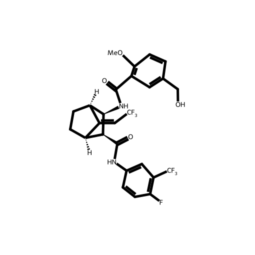 COc1ccc(CO)cc1C(=O)N[C@H]1[C@@H](C(=O)Nc2ccc(F)c(C(F)(F)F)c2)[C@H]2CC[C@@H]1/C2=C\C(F)(F)F